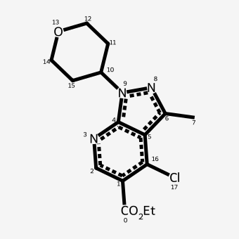 CCOC(=O)c1cnc2c(c(C)nn2C2CCOCC2)c1Cl